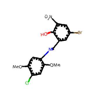 COc1cc(/N=C/c2cc(Br)cc([N+](=O)[O-])c2O)c(OC)cc1Cl